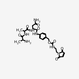 CC(N)C(=O)NC(C)C(=O)NC(CC(N)=O)C(=O)Nc1ccc(COC(=O)NCCN2C(=O)C=CC2=O)cc1